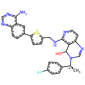 C[C@@H](c1ccc(F)cc1)N1C=Nc2ccnc(NCc3ccc(-c4ccc5ncnc(N)c5c4)s3)c2C1O